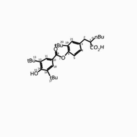 CCCCC(Cc1ccc(OC(=O)c2cc(C(C)(C)C)c(O)c(C(C)(C)C)c2)c(C(C)(C)C)c1)C(=O)O